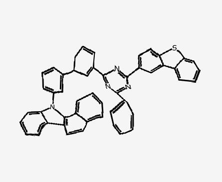 C1=CC(c2nc(-c3ccccc3)nc(-c3ccc4sc5ccccc5c4c3)n2)=CC(c2cccc(-n3c4ccccc4c4ccc5ccccc5c43)c2)C1